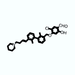 Cc1c(C=CCCN2CCCCC2)cccc1-c1cccc(COc2cc(O)c(C=O)cc2Cl)c1C